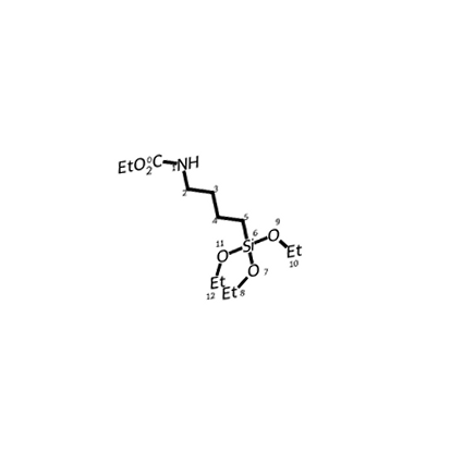 CCOC(=O)NCCCC[Si](OCC)(OCC)OCC